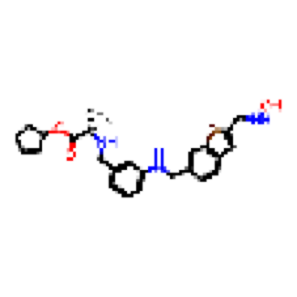 C[C@H](NCc1cccc(NCc2ccc3cc(CNO)sc3c2)c1)C(=O)OC1CCCC1